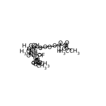 CCC(C)C1CC(=O)N(CCC(=O)NCCOCCOCCOCCOCCC(=O)NC(C(=O)N[C@@H](C)C(=O)NCCC[C@@]2(c3ccccc3)SC(c3cc(F)ccc3F)=NN2C(=O)N(C)OC)C(C)C)C1=O